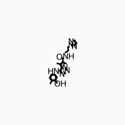 Cc1ccc(Nc2ncnn3cc(C(=O)NCCCn4nccn4)c(C)c23)cc1O